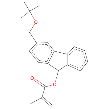 C=C(C)C(=O)OC1c2ccccc2-c2cc(COC(C)(C)C)ccc21